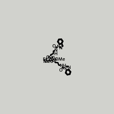 CCO[Si](CCCNC(=O)n1ncc2ccccc21)(OCC)O[Si](CCCNC(=O)n1cnc2ccccc21)(OC)OC